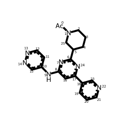 CC(=O)N1CCCC(c2nc(Nc3ccnnc3)cc(-c3cccnc3)n2)C1